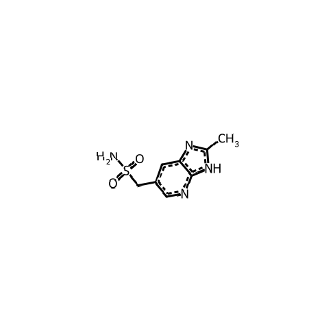 Cc1nc2cc(CS(N)(=O)=O)cnc2[nH]1